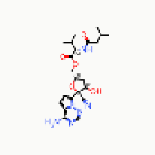 CC(C)CC(=O)N[C@H](C(=O)OC[C@@H]1C[C@@H](O)[C@](C#N)(c2ccc3c(N)ncnn23)O1)C(C)C